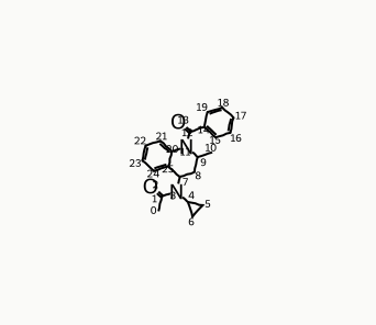 CC(=O)N(C1CC1)C1CC(C)N(C(=O)c2ccccc2)c2ccccc21